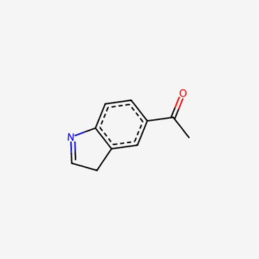 CC(=O)c1ccc2c(c1)CC=N2